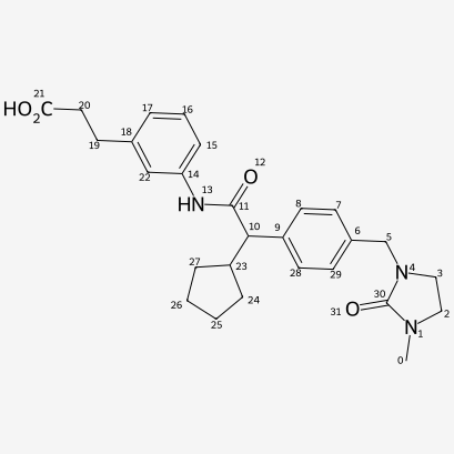 CN1CCN(Cc2ccc(C(C(=O)Nc3cccc(CCC(=O)O)c3)C3CCCC3)cc2)C1=O